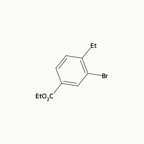 CCOC(=O)c1ccc(CC)c(Br)c1